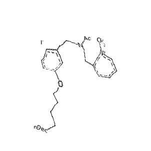 CCCCCCCCCCCCCCOc1cccc(CN(Cc2cccc[n+]2C)C(C)=O)c1.[I-]